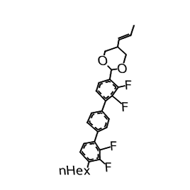 C/C=C/C1COC(c2ccc(-c3ccc(-c4ccc(CCCCCC)c(F)c4F)cc3)c(F)c2F)OC1